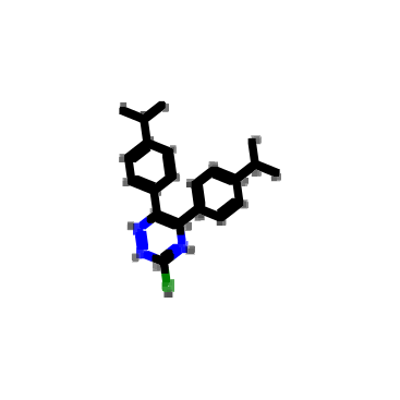 CC(C)c1ccc(-c2nnc(Cl)nc2-c2ccc(C(C)C)cc2)cc1